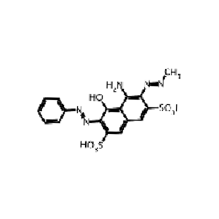 CN=Nc1c(S(=O)(=O)O)cc2cc(S(=O)(=O)O)c(N=Nc3ccccc3)c(O)c2c1N